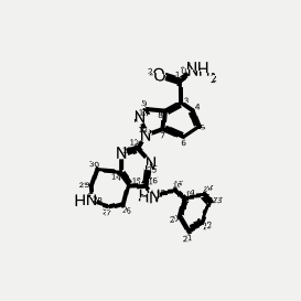 NC(=O)c1cccc2c1cnn2-c1nc2c(c(NCc3ccccc3)n1)CCNCC2